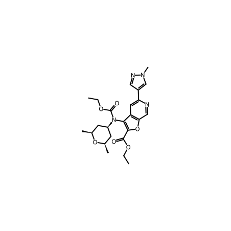 CCOC(=O)c1oc2cnc(-c3cnn(C)c3)cc2c1N(C(=O)OCC)[C@H]1C[C@@H](C)O[C@@H](C)C1